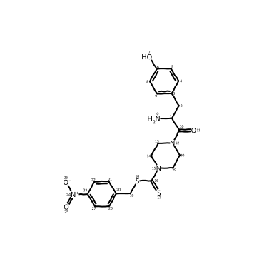 NC(Cc1ccc(O)cc1)C(=O)N1CCN(C(=S)SCc2ccc([N+](=O)[O-])cc2)CC1